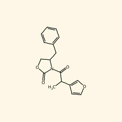 CC(C(=O)N1C(=O)OCC1Cc1ccccc1)c1ccoc1